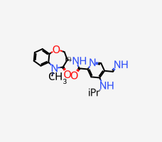 CC(C)Nc1cc(C(=O)N[C@H]2COc3ccccc3N(C)C2=O)ncc1C=N